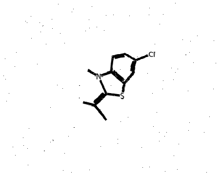 CC(C)=C1Sc2cc(Cl)ccc2N1C